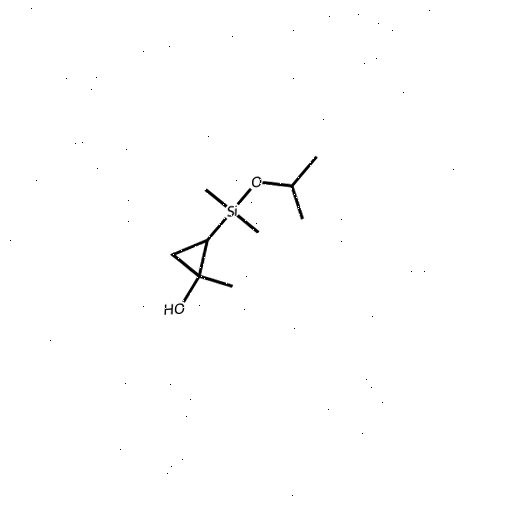 CC(C)O[Si](C)(C)C1CC1(C)O